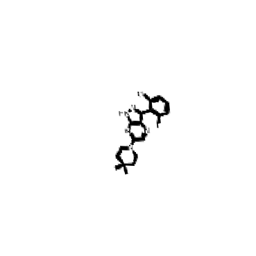 CC1(C)CCN(c2cnc3c(-c4c(F)cccc4Cl)n[nH]c3n2)CC1